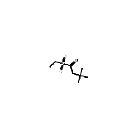 CCS(=O)(=O)C(=O)CC(C)(C)C